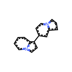 [c]1c(-c2ccn3ccccc23)ccn2cccc12